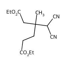 CCOC(=O)CCC(C)(CC(=O)OCC)C(C#N)C#N